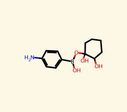 Nc1ccc(B(O)OC2(O)CCCCC2O)cc1